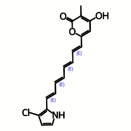 Cc1c(O)cc(/C=C/C=C/C=C/C=C/c2[nH]ccc2Cl)oc1=O